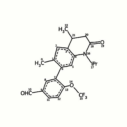 Cc1cc2c(cc1-c1cc(C=O)ccc1OC(F)(F)F)N(C(C)C)C(=O)CC2C